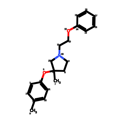 Cc1ccc(OC2(C)CCN(CCOc3ccccc3)C2)cc1